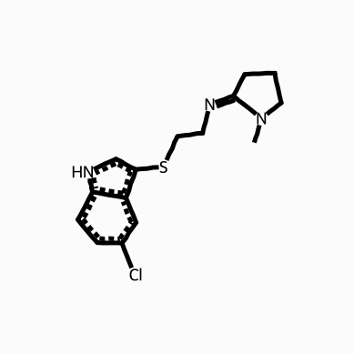 CN1CCCC1=NCCSc1c[nH]c2ccc(Cl)cc12